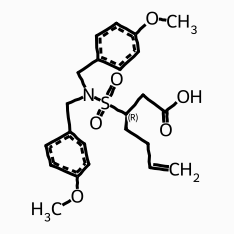 C=CCC[C@H](CC(=O)O)S(=O)(=O)N(Cc1ccc(OC)cc1)Cc1ccc(OC)cc1